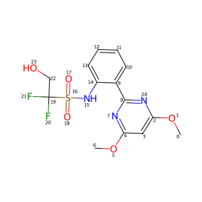 COc1cc(OC)nc(-c2ccccc2NS(=O)(=O)C(F)(F)CO)n1